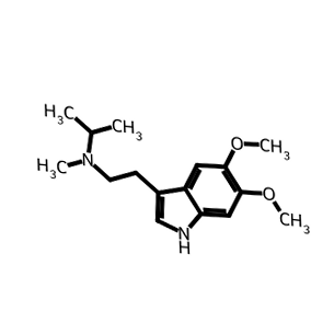 COc1cc2[nH]cc(CCN(C)C(C)C)c2cc1OC